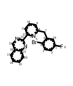 Fc1ccc(Br)c(Cc2cccc(-c3ncc4ccccc4n3)n2)c1